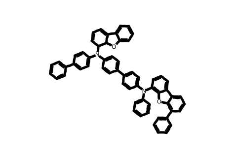 C1=CC(N(c2ccc(-c3ccccc3)cc2)c2ccc(-c3ccc(N(c4ccccc4)c4cccc5c4oc4c(-c6ccccc6)cccc45)cc3)cc2)C2Oc3ccccc3C2=C1